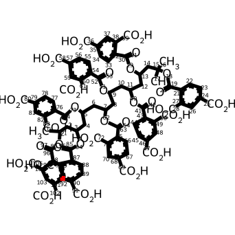 CC(CC(CC(CC(CC(CC(CC(CC(C)(C)OC(=O)c1ccc(C(=O)O)cc1C(=O)O)OC(=O)c1ccc(C(=O)O)cc1C(=O)O)OC(=O)c1ccc(C(=O)O)cc1C(=O)O)OC(=O)c1ccc(C(=O)O)cc1C(=O)O)OC(=O)c1ccc(C(=O)O)cc1C(=O)O)OC(=O)c1ccc(C(=O)O)cc1C(=O)O)OC(=O)c1ccc(C(=O)O)cc1C(=O)O)OC(=O)c1ccc(C(=O)O)cc1C(=O)O